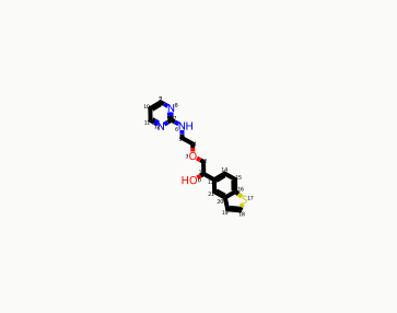 OC(COCCNc1ncccn1)c1ccc2sccc2c1